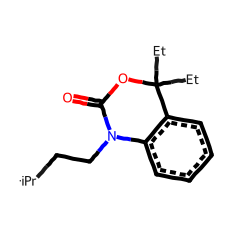 CCC1(CC)OC(=O)N(CC[C](C)C)c2ccccc21